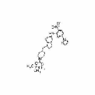 CC(C)(C)OC(=O)N1CCC(=CC2CCc3cc(Nc4nc(-n5cccn5)ccc4[N+](=O)[O-])ccc32)CC1